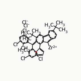 Cc1c(Cl)cc(Cl)cc1C(c1cc(Cl)cc(Cl)c1C)=c1c(C(C)(C)C)cc2c(c1C1=CC=CC1)[C]([Zr+2])=c1ccc(C(C)(C)C)cc1=2.[Cl-].[Cl-]